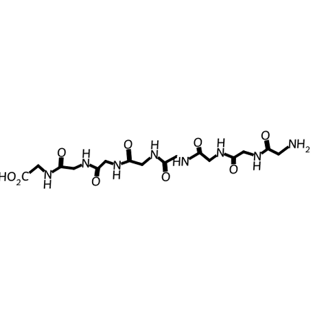 NCC(=O)NCC(=O)NCC(=O)NCC(=O)NCC(=O)NCC(=O)NCC(=O)NCC(=O)O